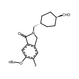 CCCCOc1cc2c(cc1F)CN(C[C@H]1CC[C@H](C=O)CC1)C2=O